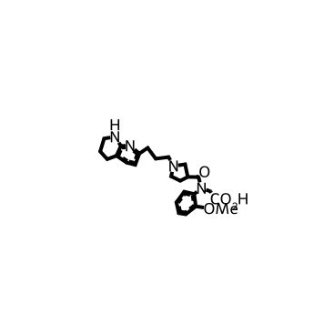 COc1ccccc1N(CC(=O)O)C(=O)C1CCN(CCCc2ccc3c(n2)NCCC3)C1